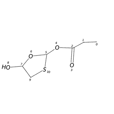 CCC(=O)OC1OC(O)CS1